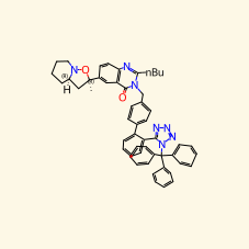 CCCCc1nc2ccc([C@@]3(C)C[C@H]4CCCCN4O3)cc2c(=O)n1Cc1ccc(-c2ccccc2-c2nnnn2C(c2ccccc2)(c2ccccc2)c2ccccc2)cc1